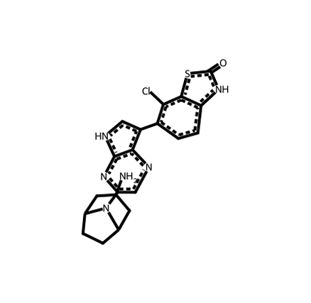 NC1CC2CCC(C1)N2c1cnc2c(-c3ccc4[nH]c(=O)sc4c3Cl)c[nH]c2n1